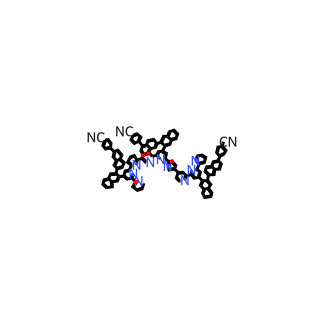 N#Cc1ccc(-c2ccc3cc(-c4cc5ccccc5cc4-c4cc(-c5ccccn5)nc(-c5cc(-c6ccc(-c7cc(-c8cc9ccccc9cc8-c8ccc9c(-c%10ccc(C#N)cc%10)cccc9c8)cc(-c8ccc(-c9cccc(-c%10cc(-c%11cc%12ccccc%12cc%11-c%11ccc%12ccc(-c%13ccc(C#N)cc%13)cc%12c%11)cc(-c%11ccccn%11)n%10)n9)cn8)n7)nc6)ccn5)c4)ccc3c2)cc1